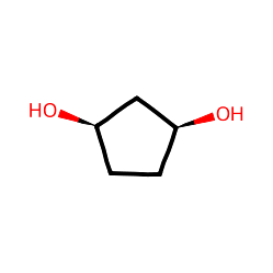 O[C@@H]1CC[C@H](O)C1